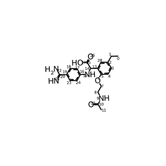 CCc1ccc(OCCNC(C)=O)c(C(Nc2ccc(C(=N)N)cc2)C(=O)O)c1